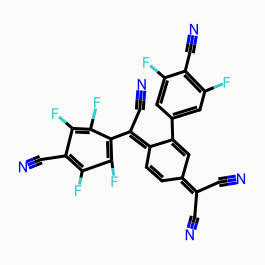 N#CC(C#N)=c1cc/c(=C(/C#N)c2c(F)c(F)c(C#N)c(F)c2F)c(-c2cc(F)c(C#N)c(F)c2)c1